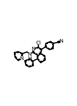 N#Cc1ccc(-c2c(Cl)nc(NCc3ccccn3)c3c(-c4ccccc4)cccc23)cc1